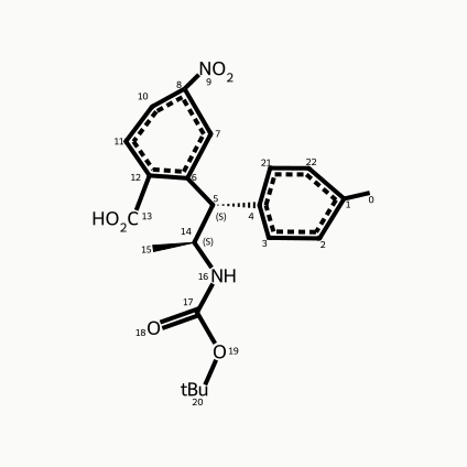 Cc1ccc([C@@H](c2cc([N+](=O)[O-])ccc2C(=O)O)[C@H](C)NC(=O)OC(C)(C)C)cc1